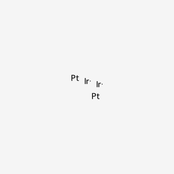 [Ir].[Ir].[Pt].[Pt]